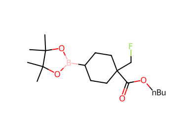 CCCCOC(=O)C1(CF)CCC(B2OC(C)(C)C(C)(C)O2)CC1